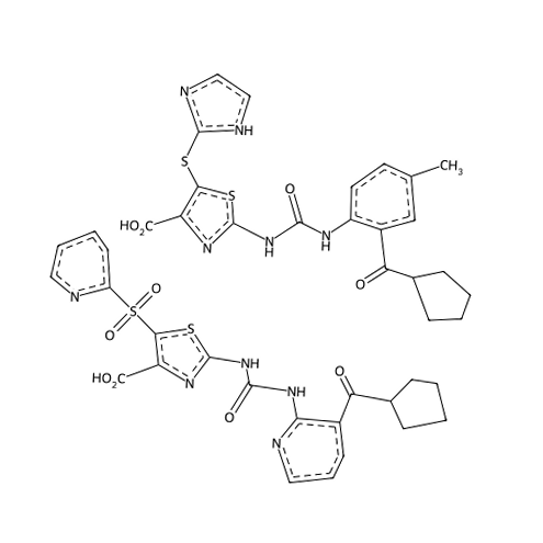 Cc1ccc(NC(=O)Nc2nc(C(=O)O)c(Sc3ncc[nH]3)s2)c(C(=O)C2CCCC2)c1.O=C(Nc1nc(C(=O)O)c(S(=O)(=O)c2ccccn2)s1)Nc1ncccc1C(=O)C1CCCC1